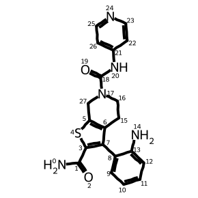 NC(=O)c1sc2c(c1-c1ccccc1N)CCN(C(=O)Nc1ccncc1)C2